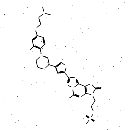 C[SH](C)CCOc1ccc(N2CCNC(c3coc(-c4nc5c6sc(=O)n(CCOS(C)(=O)=O)c6nc(N)n5n4)c3)C2)c(F)c1